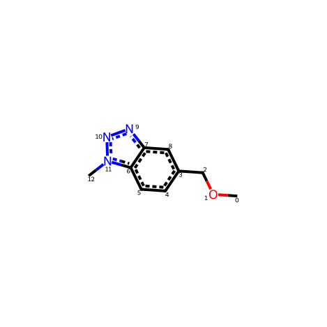 COCc1ccc2c(c1)nnn2C